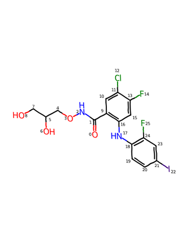 O=C(NOCC(O)CO)c1cc(Cl)c(F)cc1Nc1ccc(I)cc1F